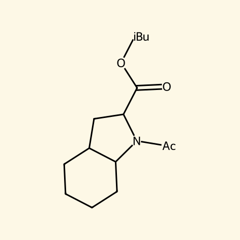 CCC(C)OC(=O)C1CC2CCCCC2N1C(C)=O